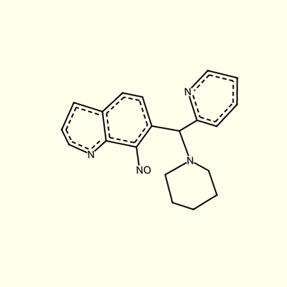 O=Nc1c(C(c2ccccn2)N2CCCCC2)ccc2cccnc12